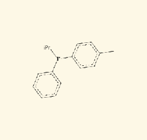 Cc1ccc([I+](c2ccccc2)C(C)C)cc1